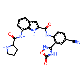 N#Cc1ccc(NC(=O)c2cc3cccc(NC(=O)C4CCCN4)c3[nH]2)c(-c2noc(=O)[nH]2)c1